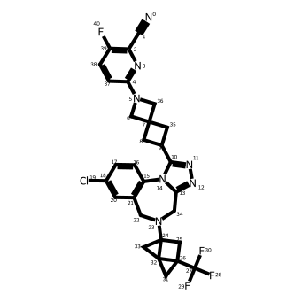 N#Cc1nc(N2CC3(CC(c4nnc5n4-c4ccc(Cl)cc4CN(C46CC7(C(F)(F)F)CC47C6)C5)C3)C2)ccc1F